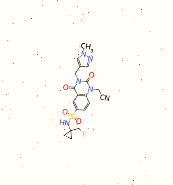 Cn1cc(Cn2c(=O)c3cc(S(=O)(=O)NC4(CF)CC4)ccc3n(CC#N)c2=O)cn1